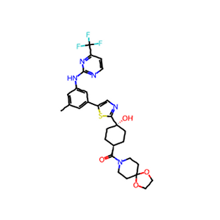 Cc1cc(Nc2nccc(C(F)(F)F)n2)cc(-c2cnc([C@]3(O)CC[C@H](C(=O)N4CCC5(CC4)OCCO5)CC3)s2)c1